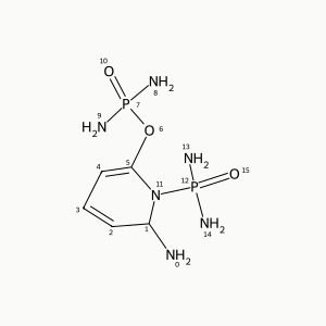 NC1C=CC=C(OP(N)(N)=O)N1P(N)(N)=O